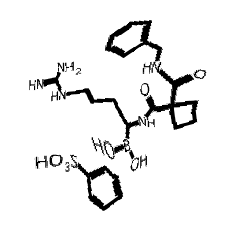 N=C(N)NCCCC(NC(=O)C1(C(=O)NCc2ccccc2)CCC1)B(O)O.O=S(=O)(O)c1ccccc1